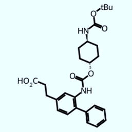 CC(C)(C)OC(=O)N[C@H]1CC[C@H](OC(=O)Nc2cc(CCC(=O)O)ccc2-c2ccccc2)CC1